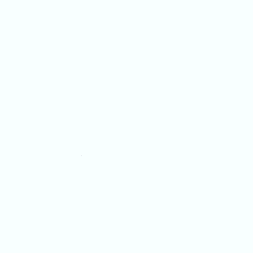 COc1cc(CCC(C)C)cc(C(C)C)c1